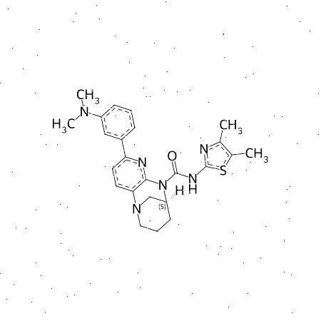 Cc1nc(NC(=O)N2c3nc(-c4cccc(N(C)C)c4)ccc3N3CCC[C@H]2C3)sc1C